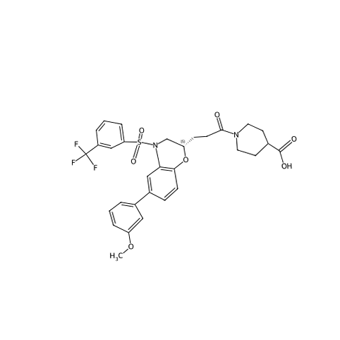 COc1cccc(-c2ccc3c(c2)N(S(=O)(=O)c2cccc(C(F)(F)F)c2)C[C@H](CCC(=O)N2CCC(C(=O)O)CC2)O3)c1